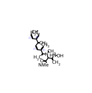 C=C(/C=C\C(=C/C)C(=C)N(C)C(C(=C)NO)C(=O)NC)C(/C=C\C)=C/C